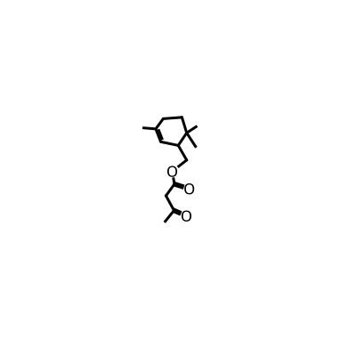 CC(=O)CC(=O)OCC1C=C(C)CCC1(C)C